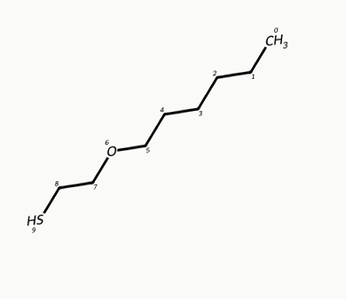 CCCCCCOCCS